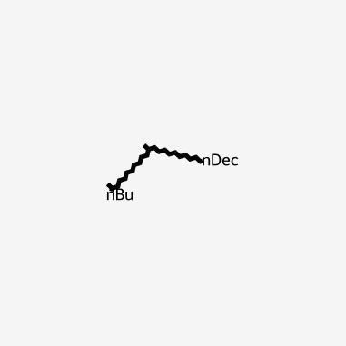 CCCCCCCCCCCCCCCCCCCCC(C)CCCCCCCCCC(C)CCCC